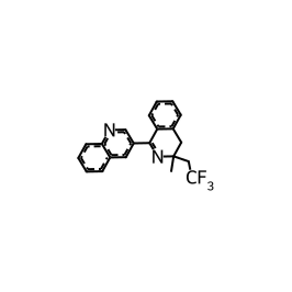 CC1(CC(F)(F)F)Cc2ccccc2C(c2cnc3ccccc3c2)=N1